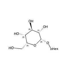 CCCCCCO[C@@H]1O[C@H](CO)[C@H](O)[C@@H](O)[C@@H]1O